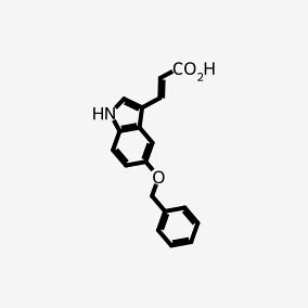 O=C(O)/C=C/c1c[nH]c2ccc(OCc3ccccc3)cc12